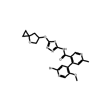 COc1cnc(Br)cc1-c1cc(C)ncc1C(=O)Nc1nnc(OC2COC3(CC3)C2)s1